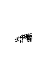 COc1ccc(CNC2(C)CCN(C(=O)OC(C(F)(F)F)C(F)(F)F)CC2)cc1